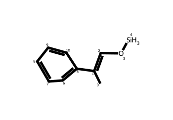 CC(=CO[SiH3])c1ccccc1